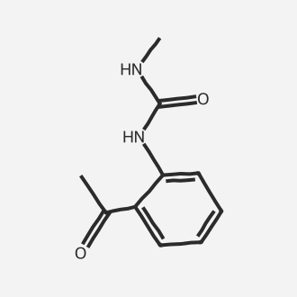 CNC(=O)Nc1ccccc1C(C)=O